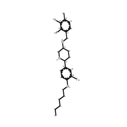 CCCCCCOc1ccc(C2CCC(OCc3ccc(C)c(F)c3F)CO2)cc1F